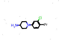 CC(C)c1ccc(N2CCC(N)CC2)cc1Cl